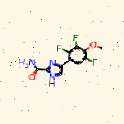 COc1c(F)cc(-c2c[nH]c(C(N)=O)n2)c(F)c1F